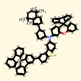 CC1(C)CCC(C)(C)c2cc(-c3cccc(N(c4ccc5c(c4)Oc4ccccc4C54c5ccccc5-c5ccccc54)c4ccc5sc6ccc(-c7ccc8c(c7)-c7ccccc7[Si]87c8ccccc8-c8ccccc87)cc6c5c4)c3)ccc21